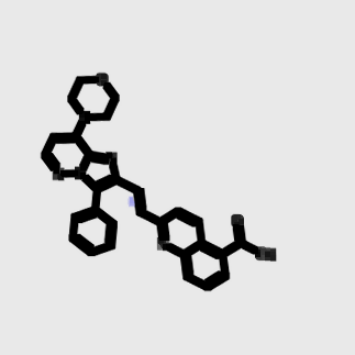 O=C(O)c1cccc2nc(/C=C/c3nc4c(N5CCOCC5)ccnn4c3-c3ccccc3)ccc12